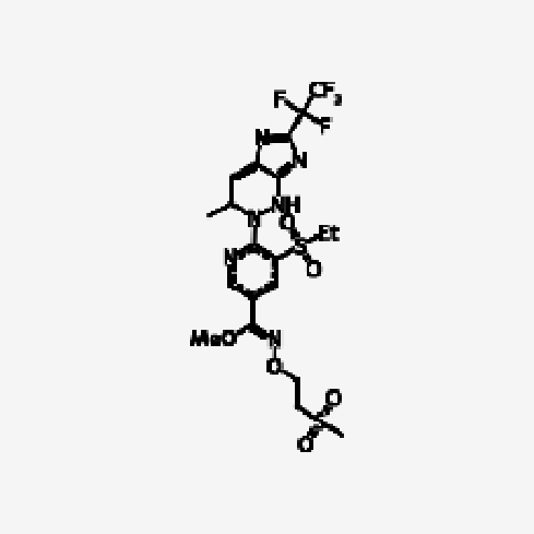 CCS(=O)(=O)c1cc(C(=NOCCS(C)(=O)=O)OC)cnc1N1NC2=NC(C(F)(F)C(F)(F)F)=NC2=CC1C